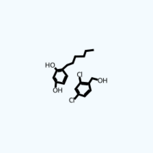 CCCCCCc1ccc(O)cc1O.OCc1ccc(Cl)cc1Cl